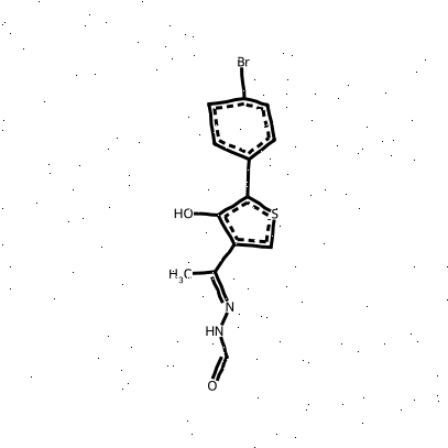 C/C(=N\NC=O)c1csc(-c2ccc(Br)cc2)c1O